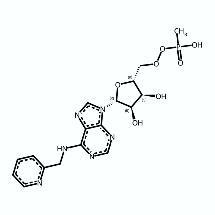 CP(=O)(O)OOC[C@H]1O[C@@H](n2cnc3c(NCc4ccccn4)ncnc32)[C@H](O)[C@@H]1O